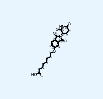 O=C(O)CCCCCCCOc1ccc2c(c1)C(=O)N(C1CCC(=O)NC1=O)C2=O